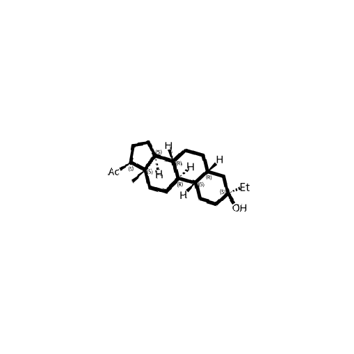 CC[C@]1(O)CC[C@H]2[C@H](CC[C@@H]3[C@@H]2CC[C@]2(C)[C@@H](C(C)=O)CC[C@@H]32)C1